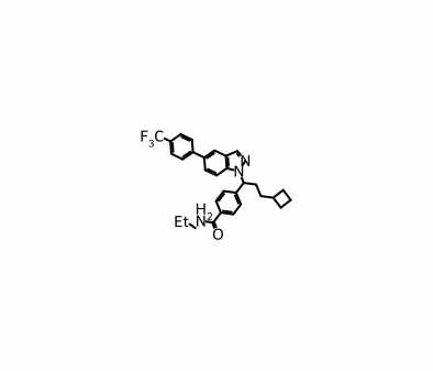 CCC.NC(=O)c1ccc(C(CCC2CCC2)n2ncc3cc(-c4ccc(C(F)(F)F)cc4)ccc32)cc1